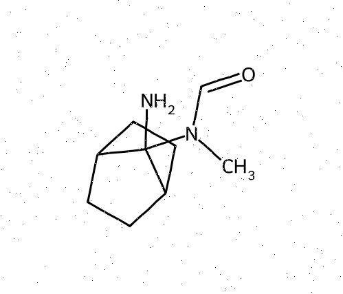 CN(C=O)C1(N)C2CCC1CC2